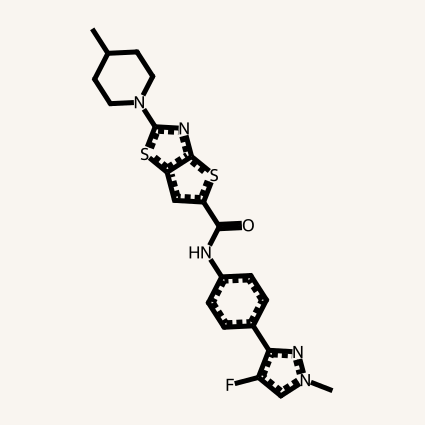 CC1CCN(c2nc3sc(C(=O)Nc4ccc(-c5nn(C)cc5F)cc4)cc3s2)CC1